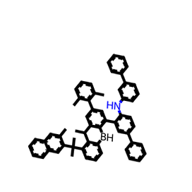 Cc1cc2ccccc2cc1C(C)(C)c1cccc2c1C(C)c1cc(-c3c(C)cccc3C)cc(-c3cc(-c4ccccc4)ccc3Nc3cccc(-c4ccccc4)c3)c1B2